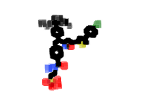 CC(C)(C)c1ccc(C(Cc2ccc(C(=O)NCCS(=O)(=O)O)cc2)c2cc(-c3cc(-c4ccc(Cl)cc4)cs3)on2)cc1